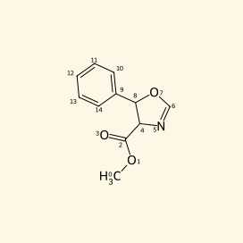 COC(=O)C1N=COC1c1ccccc1